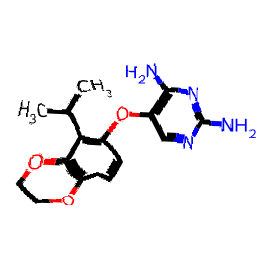 CC(C)c1c(Oc2cnc(N)nc2N)ccc2c1OCCO2